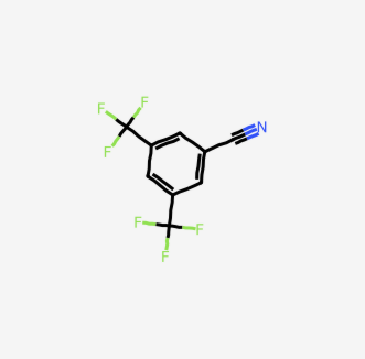 N#Cc1cc(C(F)(F)F)cc(C(F)(F)F)c1